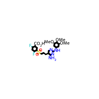 COc1cc(Nc2ncc(CC=CS(=O)(=O)c3cc(C(=O)O)c(F)cc3F)c(N)n2)cc(OC)c1OC